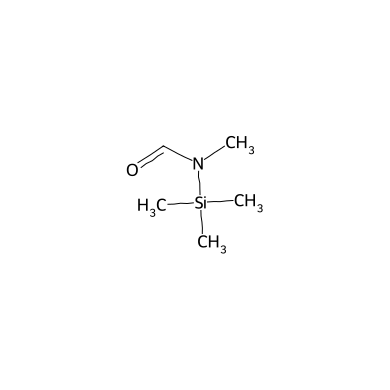 CN(C=O)[Si](C)(C)C